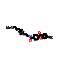 CNCCCC(C)(C)[Si](C)(C)CCCNC(=O)C1CCC(O)(C(=O)c2ccc(C(C)=O)cc2)CC1